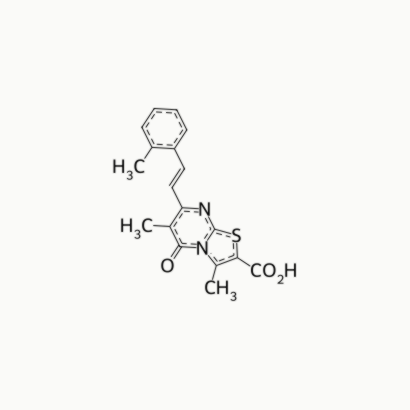 Cc1ccccc1/C=C/c1nc2sc(C(=O)O)c(C)n2c(=O)c1C